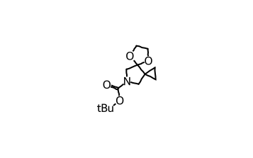 CC(C)(C)OC(=O)N1CC2(CC2)C2(C1)OCCO2